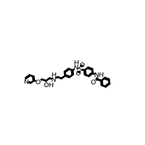 O=C(Nc1ccc(S(=O)(=O)Nc2ccc(CCNC[C@H](O)COc3cccnc3)cc2)cc1)c1ccccc1